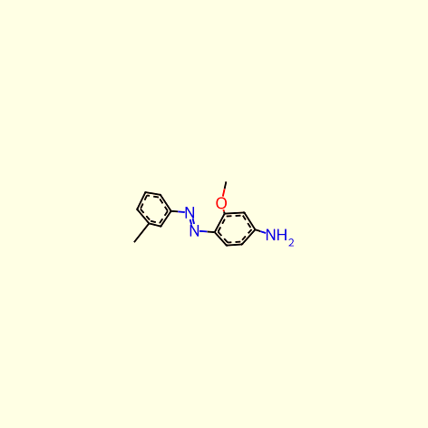 COc1cc(N)ccc1N=Nc1cccc(C)c1